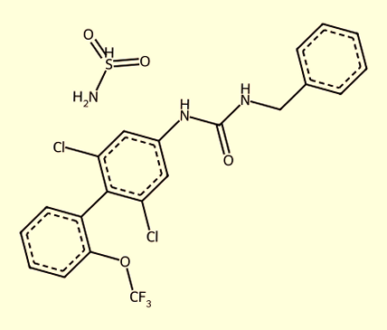 N[SH](=O)=O.O=C(NCc1ccccc1)Nc1cc(Cl)c(-c2ccccc2OC(F)(F)F)c(Cl)c1